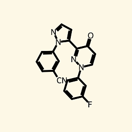 N#Cc1cccc(-n2nccc2-c2nn(-c3cccc(F)c3)ccc2=O)c1